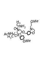 COCCCN1CCOc2ccc(CO[C@H]3CN(C(=O)C(C)N)[C@@H](CC(C)(C)NC(C)=O)C[C@@H]3c3ccc(OC)cc3)cc21